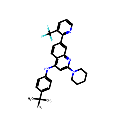 CC(C)(C)c1ccc(Nc2cc(N3CCCCC3)nc3cc(-c4ncccc4C(F)(F)F)ccc23)cc1